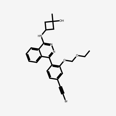 CCOCOc1cc(C#CBr)ccc1-c1nnc(NC2CC(C)(O)C2)c2ccccc12